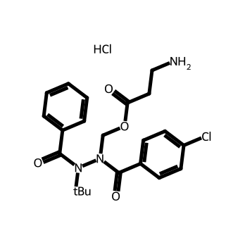 CC(C)(C)N(C(=O)c1ccccc1)N(COC(=O)CCN)C(=O)c1ccc(Cl)cc1.Cl